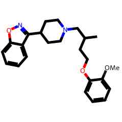 COc1c[c]ccc1OCCC(C)CN1CCC(c2noc3ccccc23)CC1